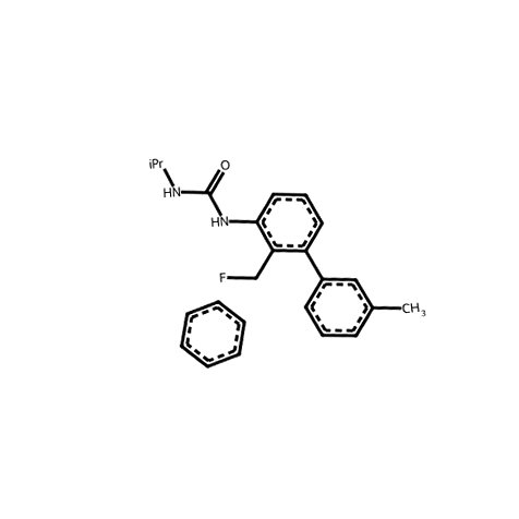 Cc1cccc(-c2cccc(NC(=O)NC(C)C)c2CF)c1.c1ccccc1